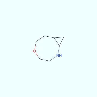 C1COCCC2CC2N1